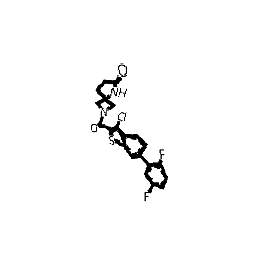 O=C1CCC2(CN(C(=O)c3sc4cc(-c5cc(F)ccc5F)ccc4c3Cl)C2)N1